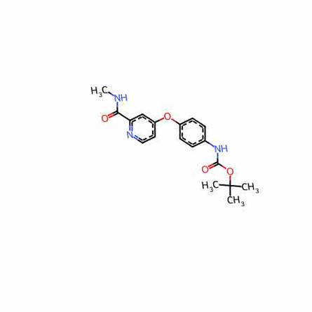 CNC(=O)c1cc(Oc2ccc(NC(=O)OC(C)(C)C)cc2)ccn1